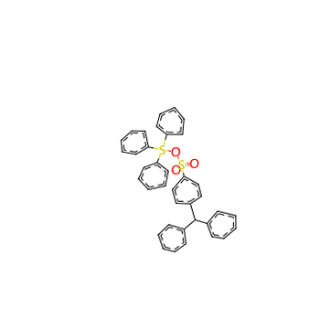 O=S(=O)(OS(c1ccccc1)(c1ccccc1)c1ccccc1)c1ccc(C(c2ccccc2)c2ccccc2)cc1